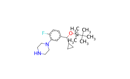 CC(C)(C)[Si](C)(C)OC(c1ccc(F)c(N2CCNCC2)c1)C1CC1